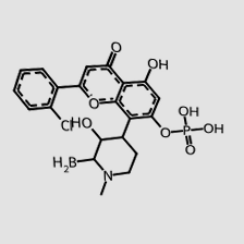 BC1C(O)C(c2c(OP(=O)(O)O)cc(O)c3c(=O)cc(-c4ccccc4Cl)oc23)CCN1C